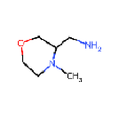 CN1CCOCC1CN